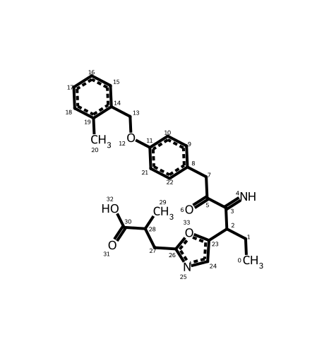 CCC(C(=N)C(=O)Cc1ccc(OCc2ccccc2C)cc1)c1cnc(CC(C)C(=O)O)o1